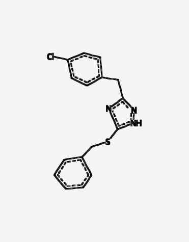 Clc1ccc(Cc2n[nH]c(SCc3ccccc3)n2)cc1